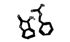 CC1C(=O)Oc2ccccc21.O=C(O)OCc1ccccc1